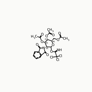 CC(=O)OC[C@H]1OC(OC(=N)C(Cl)(Cl)Cl)[C@H](N2C(=O)c3ccccc3C2=O)[C@@H](OC(C)=O)[C@@H]1OC(C)=O